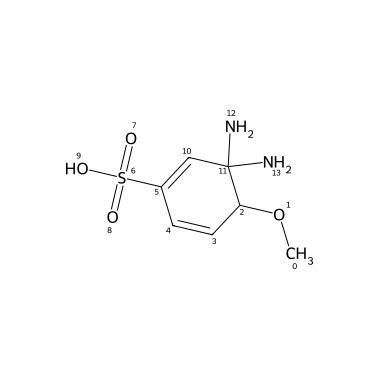 COC1C=CC(S(=O)(=O)O)=CC1(N)N